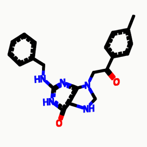 Cc1ccc(C(=O)CN2CNc3c2nc(NCc2ccccc2)[nH]c3=O)cc1